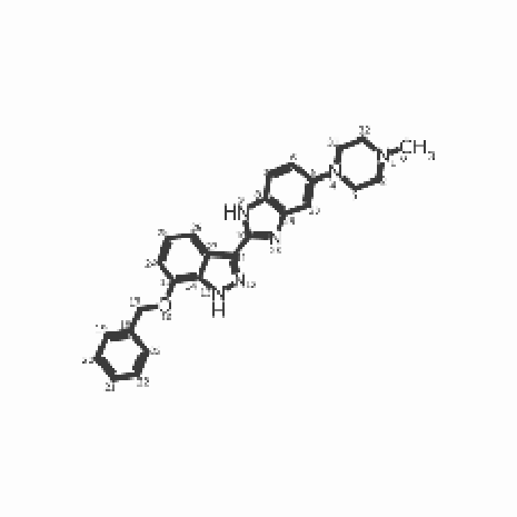 CN1CCN(c2ccc3[nH]c(-c4n[nH]c5c(OCc6ccccc6)cccc45)nc3c2)CC1